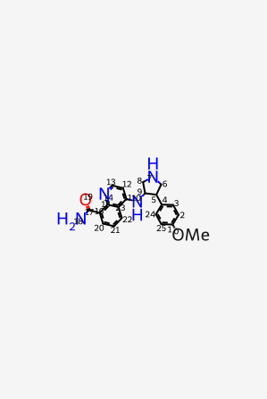 COc1ccc(C2CNCC2Nc2ccnc3c(C(N)=O)cccc23)cc1